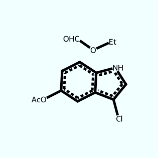 CC(=O)Oc1ccc2[nH]cc(Cl)c2c1.CCOC=O